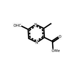 COC(=O)c1ncc(C=O)nc1C